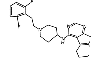 Fc1cccc(F)c1CCN1CCC(Nc2ncnc3sc4c(c23)CCCC4)CC1